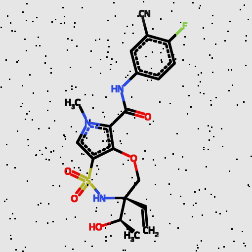 C=C[C@]1([C@@H](C)O)COc2c(cn(C)c2C(=O)Nc2ccc(F)c(C#N)c2)S(=O)(=O)N1